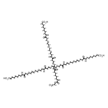 O=C(O)CCCCCCCNC(=O)CCOCCOCCOCCNC(=O)CCOCC(COCCC(=O)NCCOCCOCCOCCC(=O)NCCCCCCCC(=O)O)(COCCC(=O)NCCOCCOCCOCCC(=O)NCCCCCCCC(=O)O)NC(=O)CCCCCNC(=O)OCC(Cl)(Cl)Cl